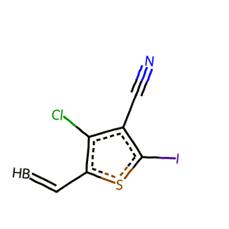 B=Cc1sc(I)c(C#N)c1Cl